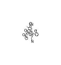 COc1ccccc1C(Cn1c(=O)n(C(C)(C)C(=O)N2CCCC2)c(=O)c2c(C)c(-n3cccn3)sc21)OCCC#N